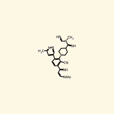 CN/C=C\C(=N)c1ccc(-c2cnnc(C)c2)c(N2CCC(C(=N)N(C)C=N)CC2)c1C#N